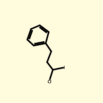 ClC(I)CCc1ccccc1